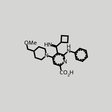 COCC1CCN(c2cc(C(=O)O)nc(Nc3ccccc3)c2C(=N)C2CCC2)CC1